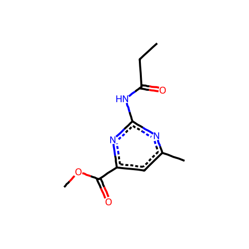 CCC(=O)Nc1nc(C)cc(C(=O)OC)n1